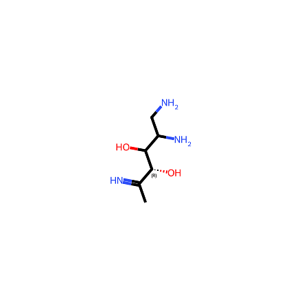 CC(=N)[C@@H](O)C(O)C(N)CN